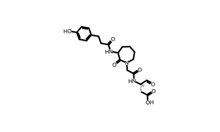 O=C[C@H](CC(=O)O)NC(=O)CN1CCCCC(NC(=O)CCc2ccc(O)cc2)C1=O